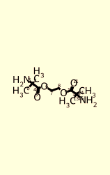 CC(C)(N)C(=O)OCCOC(=O)C(C)(C)N